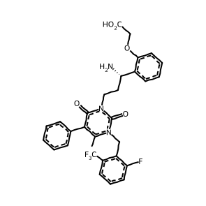 Cc1c(-c2ccccc2)c(=O)n(CC[C@H](N)c2ccccc2OCC(=O)O)c(=O)n1Cc1c(F)cccc1C(F)(F)F